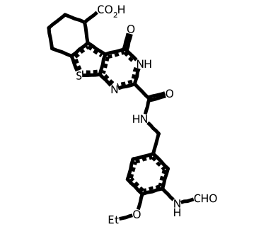 CCOc1ccc(CNC(=O)c2nc3sc4c(c3c(=O)[nH]2)C(C(=O)O)CCC4)cc1NC=O